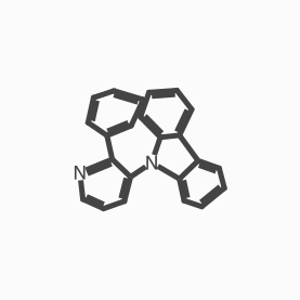 c1ccc(-c2ncccc2-n2c3ccccc3c3ccccc32)cc1